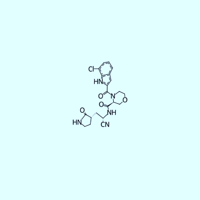 N#C[C@H](C[C@@H]1CCNC1=O)NC(=O)[C@@H]1COCCN1C(=O)c1cc2cccc(Cl)c2[nH]1